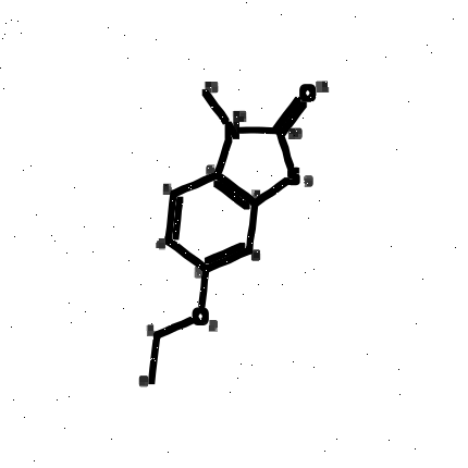 CCOc1ccc2c(c1)sc(=O)n2C